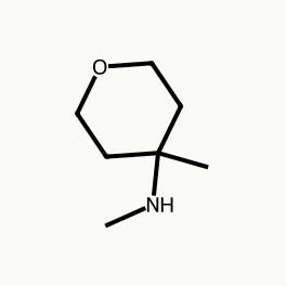 CNC1(C)CCOCC1